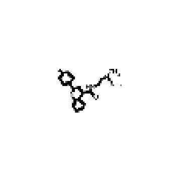 CN(C)CCNC(=O)c1cc(-c2ccc(F)cc2)nc2ccccc12